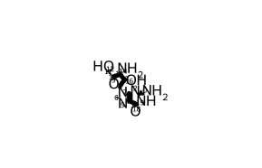 Nc1nc2c(ncn2[C@@H]2O[C@H](CO)[C@@H](N)[C@H]2O)c(=O)[nH]1